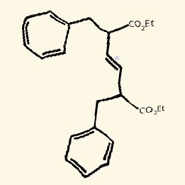 CCOC(=O)C(/C=C/C(Cc1ccccc1)C(=O)OCC)Cc1ccccc1